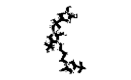 Cc1nc(C(C)(C)C)cn1CCCCn1c(C(C)(C)C)c[n+](CC(C)(C)c2cn(C)c(Cl)n2)c1C